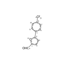 O=Cc1ccc(-c2ccc(C(F)(F)F)cc2)o1